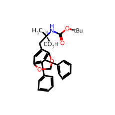 CC(C)(C)OC(=O)N[C@@](C)(Cc1cc2c(-c3ccccc3)c(-c3ccccc3)c1OCO2)C(=O)O